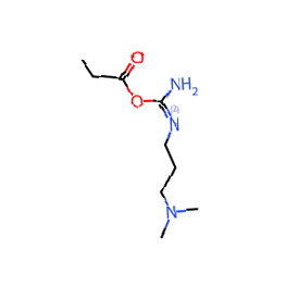 CCC(=O)O/C(N)=N\CCCN(C)C